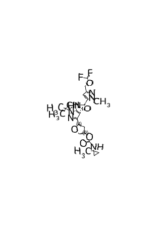 Cn1nc(COC(F)F)cc1C(=O)Nc1cc([C@H]2C[C@@H](OC(=O)NC3(C)CC3)CO2)nn1C(C)(C)C